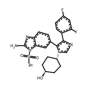 CC(C)S(=O)(=O)n1c(N)nc2ccc(-c3c(-c4ccc(F)cc4F)ncn3[C@H]3CC[C@H](O)CC3)cc21